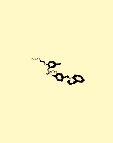 CCCCCCCCCCCCOc1ccc(C)cc1OP(=O)(O)Oc1ccc(C[n+]2cccc3ccccc32)cc1